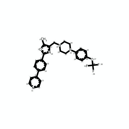 Cc1oc(-c2ccc(-c3ccncc3)cc2)nc1CN1CCN(c2ccc(OC(F)(F)F)cc2)CC1